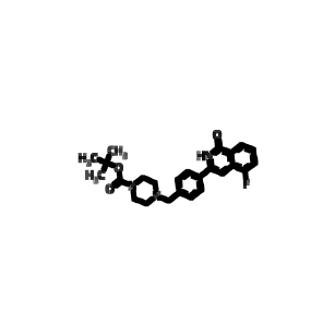 CC(C)(C)OC(=O)N1CCN(Cc2ccc(-c3cc4c(F)cccc4c(=O)[nH]3)cc2)CC1